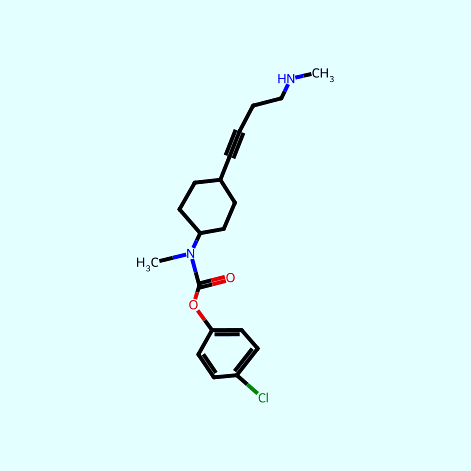 CNCCC#CC1CCC(N(C)C(=O)Oc2ccc(Cl)cc2)CC1